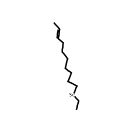 CC=CCCCCCCC[Se]CC